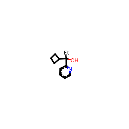 CCC(O)(c1ccccn1)C1CCC1